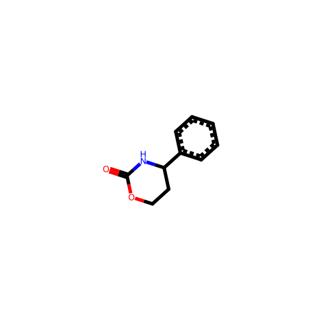 O=C1NC(c2ccccc2)CCO1